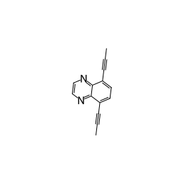 CC#Cc1ccc(C#CC)c2nccnc12